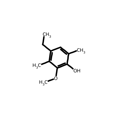 CCc1cc(C)c(O)c(OC)c1C